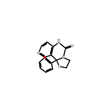 O=C1Nc2ccncc2C2(c3ccccc3)OCCN12